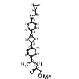 COCC(=O)N[C@@H](C)c1ccc(C2CN(c3ccc(OCC4CC4)cc3)C2)cc1